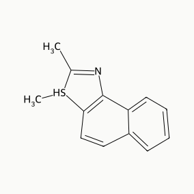 CC1=Nc2c(ccc3ccccc23)[SH]1C